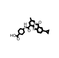 Cc1cc(C(=O)NC2CCC(C(=O)O)CC2)c2nc3ccc(C4CC4)cc3c(=O)n2c1